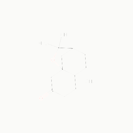 CC1(C)OC23CC(=O)CC[C@]2(C)CCC1C3